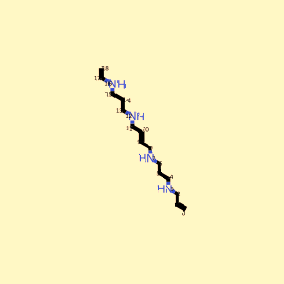 C=CCNCCCNCC=CCNCCCNCC